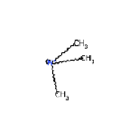 CCCCCCCCCCCCCCCCC(CCCCCCCCCCCCCCCC)(CCCCCCCCCCCCCCCC)[n+]1ccccc1